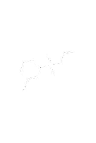 Nc1cccc(S(=O)(=O)CC=O)c1